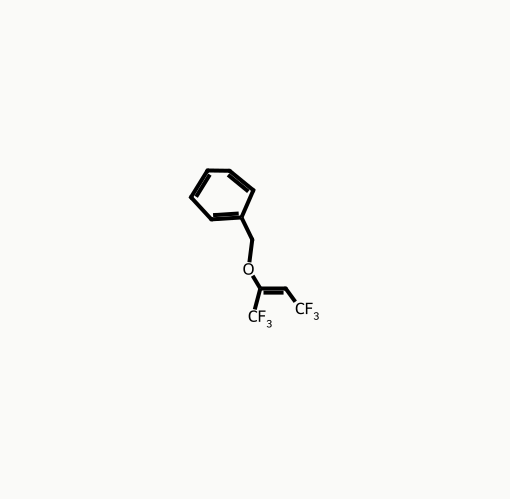 FC(F)(F)C=C(OCc1ccccc1)C(F)(F)F